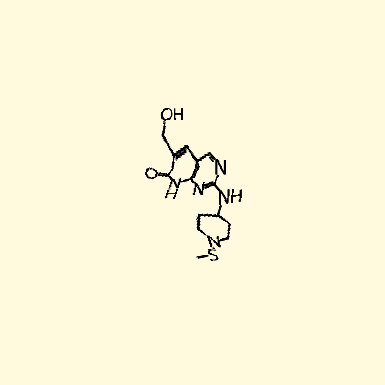 CSN1CCC(Nc2ncc3cc(CO)c(=O)[nH]c3n2)CC1